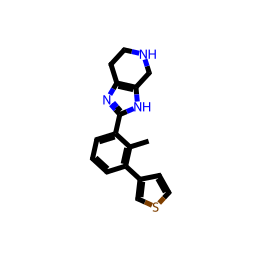 Cc1c(-c2ccsc2)cccc1-c1nc2c([nH]1)CNCC2